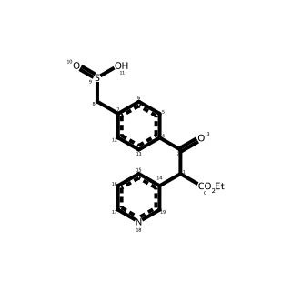 CCOC(=O)C(C(=O)c1ccc(CS(=O)O)cc1)c1cccnc1